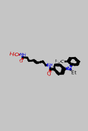 CCN(c1ccc(C(=O)NCCCCCCC(=O)NO)cc1)c1ccccc1C(F)(F)F